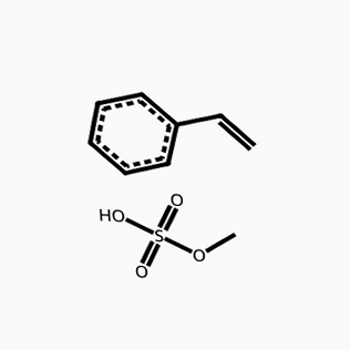 C=Cc1ccccc1.COS(=O)(=O)O